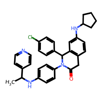 CC(Nc1ccc(N2C(=O)Cc3ccc(NC4CCCC4)cc3C2c2ccc(Cl)cc2)cc1)c1ccncc1